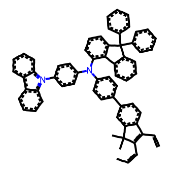 C=CC1=C(/C=C\C)C(C)(C)c2cc(-c3ccc(N(c4ccc(-n5c6ccccc6c6ccccc65)cc4)c4cccc5c4-c4ccccc4C5(c4ccccc4)c4ccccc4)cc3)ccc21